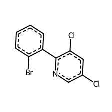 Clc1cnc(-c2ccc[c]c2Br)c(Cl)c1